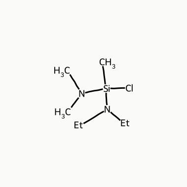 CCN(CC)[Si](C)(Cl)N(C)C